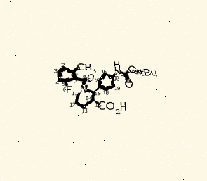 Cc1cccc(F)c1C(=O)N1CCC[C@H](C(=O)O)[C@@H]1c1ccc(NC(=O)OC(C)(C)C)cc1